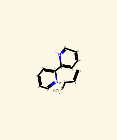 C=CCC(=O)O.c1ccc(-c2ccccn2)nc1